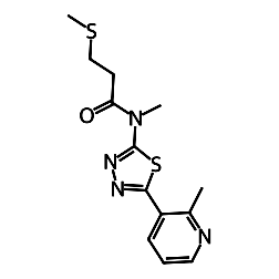 CSCCC(=O)N(C)c1nnc(-c2cccnc2C)s1